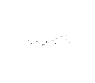 C=CC(C/C=C\CC(C)(C)OC(=O)CCN(CCCN(CCC)CCO)C(C)(C)S)CCC